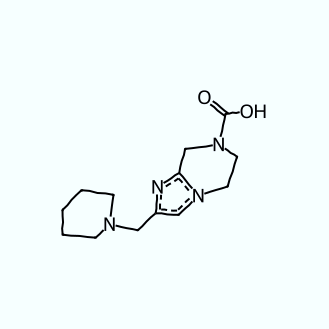 O=C(O)N1CCn2cc(CN3CCCCC3)nc2C1